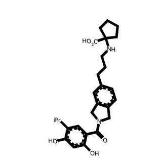 CC(C)c1cc(C(=O)N2Cc3ccc(CCCNC4(C(=O)O)CCCC4)cc3C2)c(O)cc1O